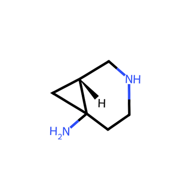 NC12CCNC[C@H]1C2